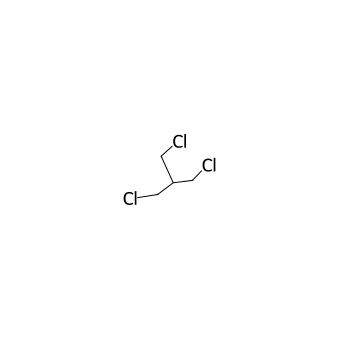 ClCC(CCl)CCl